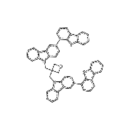 c1ccc2c(c1)sc1c(-c3ccc4c(c3)c3ccccc3n4CC3(Cn4c5ccccc5c5cc(-c6cccc7c6sc6ccccc67)ccc54)COC3)cccc12